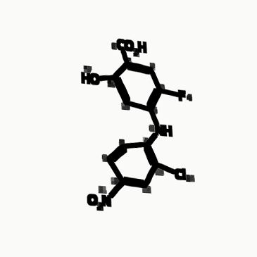 O=C(O)c1cc(F)c(Nc2ccc([N+](=O)[O-])cc2Cl)cc1O